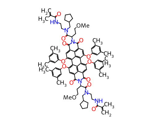 C=C(C)C(=O)NCCN(CC1CCCC1)C(=O)C(CCOC)N1C(=O)c2cc(Oc3cc(C)cc(C)c3)c3c4c(Oc5cc(C)cc(C)c5)cc5c6c(cc(Oc7cc(C)cc(C)c7)c(c7c(Oc8cc(C)cc(C)c8)cc(c2c37)C1=O)c64)C(=O)N(C(CCOC)C(=O)N(CCNC(=O)C(=C)C)CC1CCCC1)C5=O